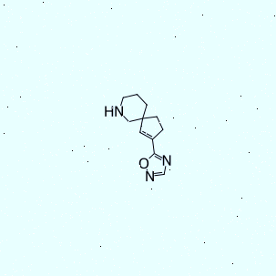 C1=C(c2ncno2)CCC12CCCNC2